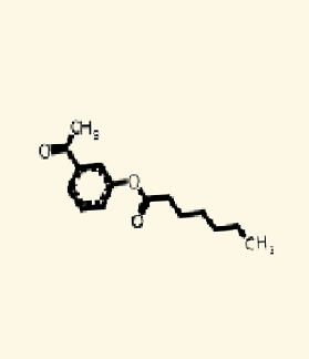 CCCCCCC(=O)Oc1cccc(C(C)=O)c1